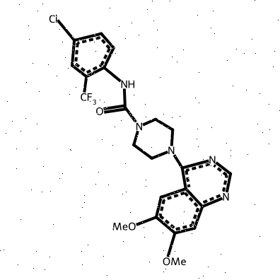 COc1cc2ncnc(N3CCN(C(=O)Nc4ccc(Cl)cc4C(F)(F)F)CC3)c2cc1OC